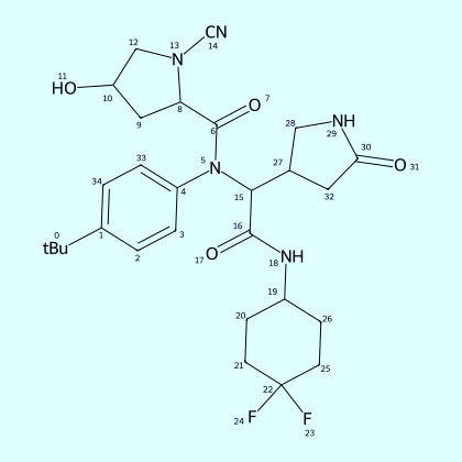 CC(C)(C)c1ccc(N(C(=O)C2CC(O)CN2C#N)C(C(=O)NC2CCC(F)(F)CC2)C2CNC(=O)C2)cc1